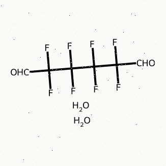 O.O.O=CC(F)(F)C(F)(F)C(F)(F)C(F)(F)C=O